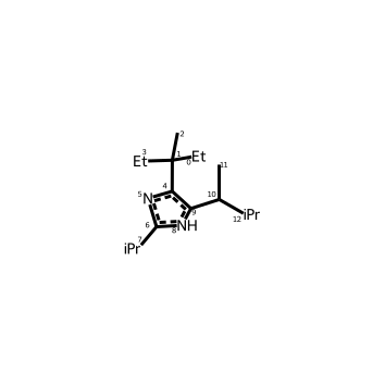 CCC(C)(CC)c1nc(C(C)C)[nH]c1C(C)C(C)C